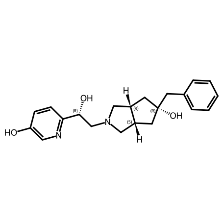 Oc1ccc([C@H](O)CN2C[C@@H]3C[C@@](O)(Cc4ccccc4)C[C@@H]3C2)nc1